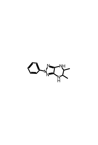 CC1Nc2nn(-c3ccccc3)nc2NC1C